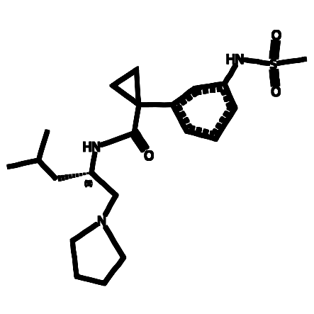 CC(C)C[C@@H](CN1CCCC1)NC(=O)C1(c2cccc(NS(C)(=O)=O)c2)CC1